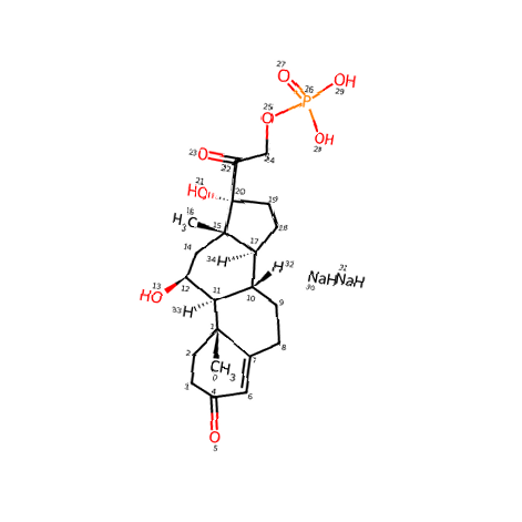 C[C@]12CCC(=O)C=C1CC[C@@H]1[C@@H]2[C@@H](O)C[C@@]2(C)[C@H]1CC[C@]2(O)C(=O)COP(=O)(O)O.[NaH].[NaH]